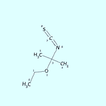 CCOC(C)(C)N=C=S